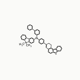 CC1(C)c2ccccc2-c2cc(N(c3ccc(C4=Cc5ccc6sc7ccccc7c6c5CC4)cc3)c3cccc(-c4ccccc4)c3)ccc21